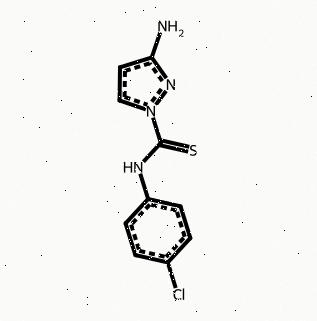 Nc1ccn(C(=S)Nc2ccc(Cl)cc2)n1